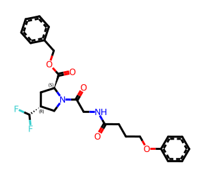 O=C(CCCOc1ccccc1)NCC(=O)N1C[C@H](C(F)F)C[C@H]1C(=O)OCc1ccccc1